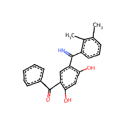 Cc1cccc(C(=N)c2cc(C(=O)c3ccccc3)c(O)cc2O)c1C